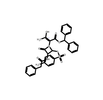 C/C(O)=C(/C(=O)OC(c1ccccc1)c1ccccc1)N1C(=O)C(NC(=O)Cc2ccccc2)C1SS(=O)(=O)c1ccc(C)cc1